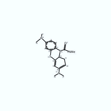 CNC(=O)N1c2ccc(N(C)C)cc2SC2=CC(N(C)C)=CCC21